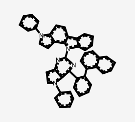 c1ccc(-n2ccc3c2ccc2c4ccccc4n(-c4nc(-c5ccccc5-c5cccc6ccccc56)c5c(ccn5-c5ccccc5)n4)c23)cc1